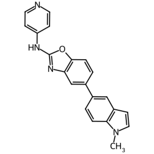 Cn1ccc2cc(-c3ccc4oc(Nc5ccncc5)nc4c3)ccc21